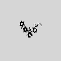 C=CC(=O)N1CCC[C@@H](n2c(=O)n(-c3ccc(Oc4ccccc4)cc3)c3ccncc32)C1